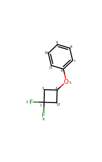 FC1(F)CC(Oc2cc[c]cc2)C1